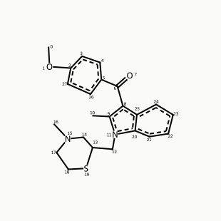 COc1ccc(C(=O)c2c(C)n(CC3CN(C)CCS3)c3ccccc23)cc1